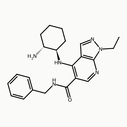 CCn1ncc2c(N[C@@H]3CCCC[C@H]3N)c(C(=O)NCc3ccccc3)cnc21